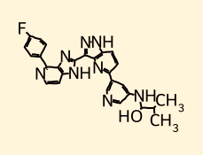 CC(C)C(O)Nc1cncc(-c2ccc3[nH]nc(-c4nc5c(-c6ccc(F)cc6)nccc5[nH]4)c3n2)c1